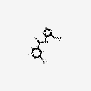 CCOC(=O)c1nnsc1NC(=O)c1cncc(C(F)(F)F)c1